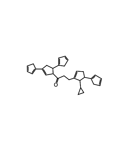 O=C(CCC1=CCC(C2=CC=CC2)C1C1CC1)C1C=C(C2=CC=CC2)CC1C1=CC=CC1